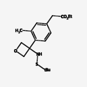 CCOC(=O)Cc1ccc(C2(NSC(C)(C)C)COC2)c(C)c1